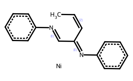 C\C=C/C(/C=N/c1ccccc1)=N\c1ccccc1.[Ni]